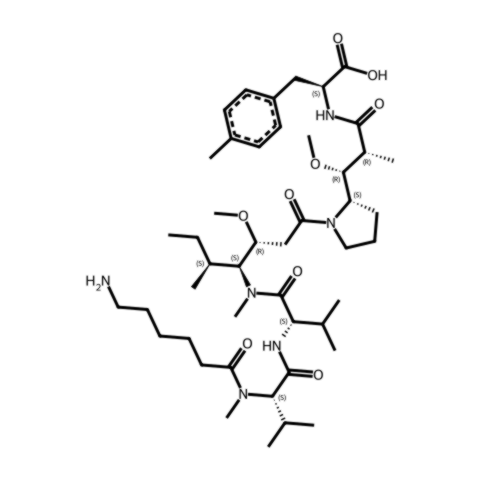 CC[C@H](C)[C@@H]([C@@H](CC(=O)N1CCC[C@H]1[C@H](OC)[C@@H](C)C(=O)N[C@@H](Cc1ccc(C)cc1)C(=O)O)OC)N(C)C(=O)[C@@H](NC(=O)[C@H](C(C)C)N(C)C(=O)CCCCCN)C(C)C